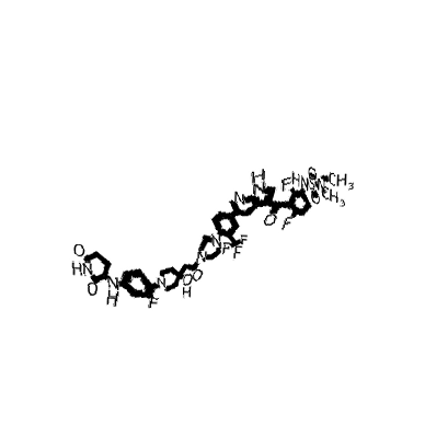 CCN(C)S(=O)(=O)Nc1ccc(F)c(C(=O)c2c[nH]c3ncc(-c4ccc(N5CCN(C(=O)CC6(O)CCN(c7ccc(NC8CCC(=O)NC8=O)cc7F)CC6)CC5)c(C(F)(F)F)c4)cc23)c1F